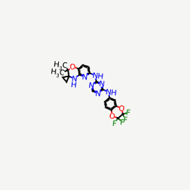 CC1(C)Oc2ccc(Nc3ncnc(Nc4ccc5c(c4)OC(F)(F)C(F)(F)O5)n3)nc2NC12CC2